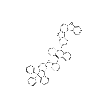 c1ccc(C2(c3ccccc3)c3ccccc3-c3c2ccc2oc4c(-c5c6ccccc6c(-c6ccc7c(c6)oc6ccc8oc9ccccc9c8c67)c6ccccc56)cccc4c32)cc1